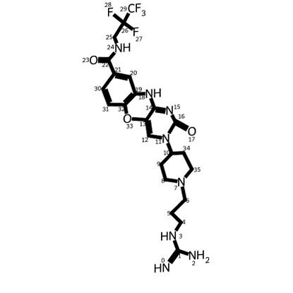 N=C(N)NCCCN1CCC(n2cc3c(nc2=O)Nc2cc(C(=O)NCC(F)(F)C(F)(F)F)ccc2O3)CC1